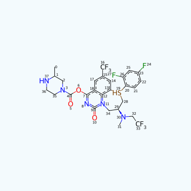 CC1CN(C(=O)Oc2nc(=O)n3c4c(cc(C(F)(F)F)cc24)[SH](c2ccc(F)cc2F)C[C@@H](N(C)CC(F)(F)F)C3)CCN1